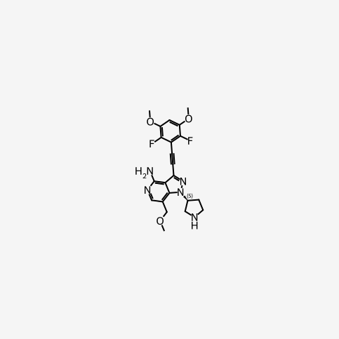 COCc1cnc(N)c2c(C#Cc3c(F)c(OC)cc(OC)c3F)nn([C@H]3CCNC3)c12